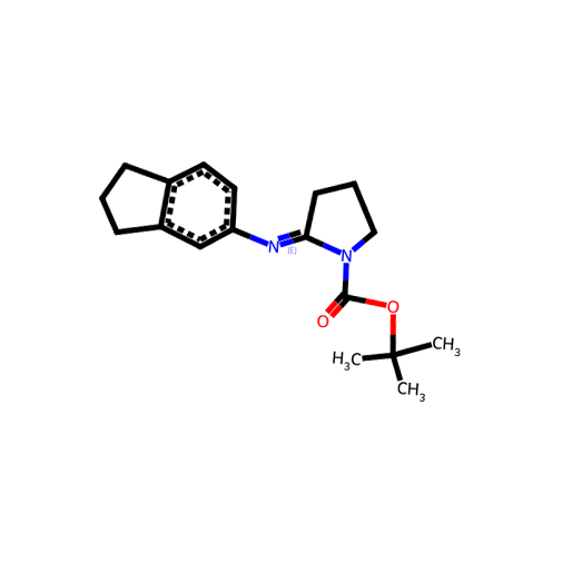 CC(C)(C)OC(=O)N1CCC/C1=N\c1ccc2c(c1)CCC2